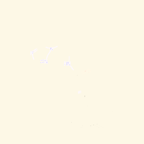 O=C(/C=C/c1cccc2ccccc12)NC(Cc1ccccc1)Cn1cncn1